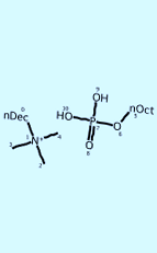 CCCCCCCCCC[N+](C)(C)C.CCCCCCCCOP(=O)(O)O